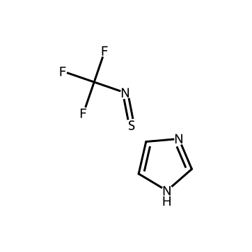 FC(F)(F)N=S.c1c[nH]cn1